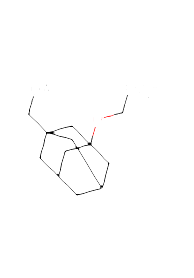 CCOC(=O)COC12CC3CC(CC(COC(C)=O)(C3)C1)C2